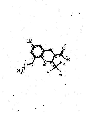 COCc1cc(Cl)cc2c1OC(C(F)(F)F)C(C(=O)O)C2